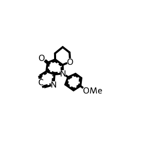 COc1ccc(-n2c3c(c(=O)c4cccnc42)CCCO3)cc1